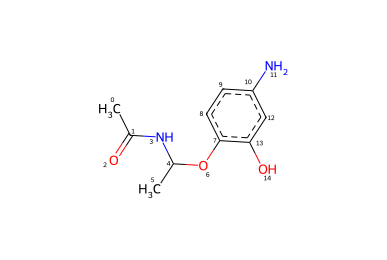 CC(=O)NC(C)Oc1ccc(N)cc1O